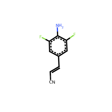 N#CC=Cc1cc(F)c(N)c(F)c1